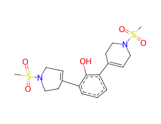 CS(=O)(=O)N1CC=C(c2cccc(C3=CCN(S(C)(=O)=O)CC3)c2O)CC1